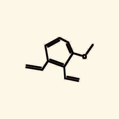 C=Cc1cccc(OC)c1C=C